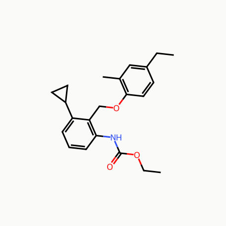 CCOC(=O)Nc1cccc(C2CC2)c1COc1ccc(CC)cc1C